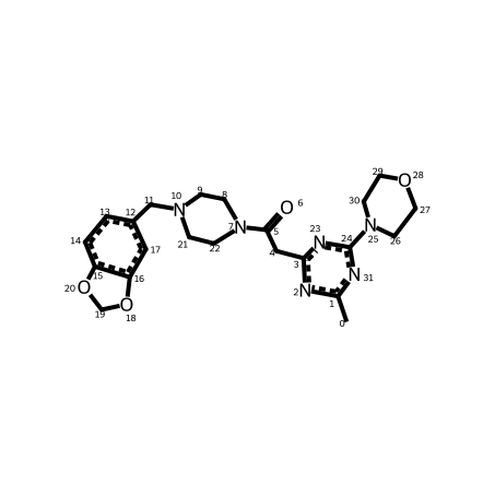 Cc1nc(CC(=O)N2CCN(Cc3ccc4c(c3)OCO4)CC2)nc(N2CCOCC2)n1